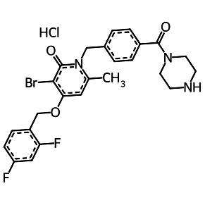 Cc1cc(OCc2ccc(F)cc2F)c(Br)c(=O)n1Cc1ccc(C(=O)N2CCNCC2)cc1.Cl